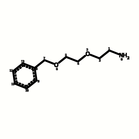 NCCOCCOCc1ccccc1